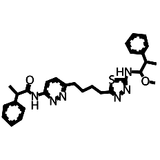 COC(Nc1nnc(CCCCc2ccc(NC(=O)C(C)c3ccccc3)nn2)s1)C(C)c1ccccc1